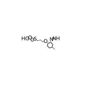 Cc1ccc(OCCCSOOO)c(N=N)c1